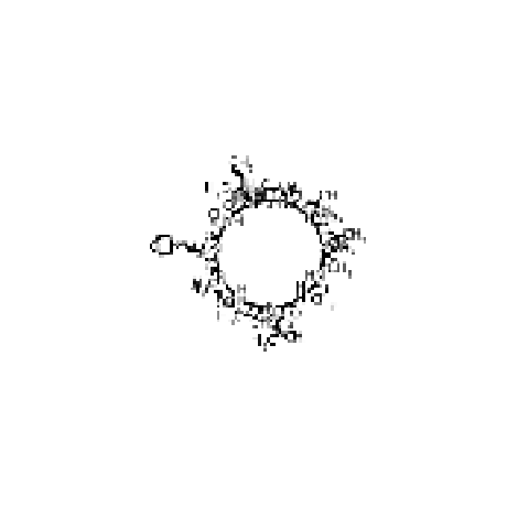 C/C=C/C[C@@H](C)C[C@@]1(NO)C(=O)N[C@@H](CC)C(=O)N(C)[C@H](SCCCN2CCOCC2)C(=O)N(C)[C@@H](C(C)C)C(=O)N[C@H](C(C)C)C(=O)N(C)[C@H](CCC(C)C)C(=O)N[C@H](C)C(=O)N[C@@H](C)C(=O)N(C)[C@@H](CC(C)C)C(=O)N(C)[C@H](CC(C)C)C(=O)N(C)[C@@H](C(C)C)C(=O)N1C